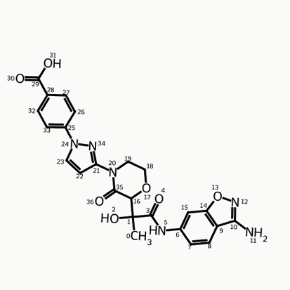 CC(O)(C(=O)Nc1ccc2c(N)noc2c1)C1OCCN(c2ccn(-c3ccc(C(=O)O)cc3)n2)C1=O